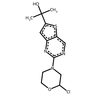 CC(C)(O)c1cc2nc(N3CCOC(Cl)C3)ncc2s1